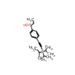 CC[C@@H](O)c1ccc(C#C[Si](C(C)C)(C(C)C)C(C)C)cc1